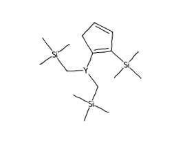 C[Si](C)(C)[CH2][Y]([CH2][Si](C)(C)C)[C]1=C([Si](C)(C)C)C=CC1